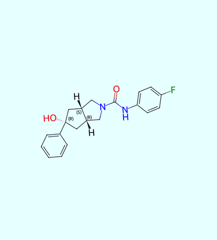 O=C(Nc1ccc(F)cc1)N1C[C@@H]2C[C@@](O)(c3ccccc3)C[C@@H]2C1